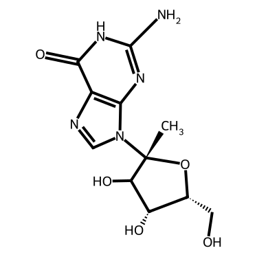 C[C@@]1(n2cnc3c(=O)[nH]c(N)nc32)O[C@H](CO)[C@H](O)C1O